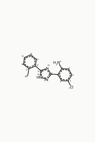 Nc1ccc(Cl)cc1-c1n[nH]c(-c2ccccc2F)n1